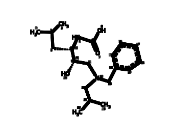 CC(C)C[C@H](NC(=O)O)[C@@H](O)CN(Cc1ccccc1)CC(C)C